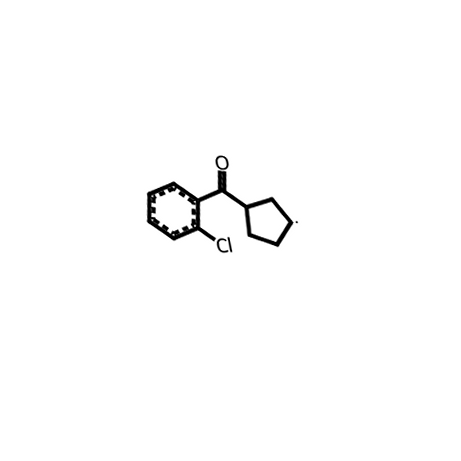 O=C(c1ccccc1Cl)C1C[CH]CC1